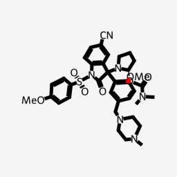 COc1ccc(S(=O)(=O)N2C(=O)C(c3cc(CN4CCN(C)CC4)ccc3OC)(N3CCC[C@@H]3OC(=O)N(C)C)c3cc(C#N)ccc32)cc1